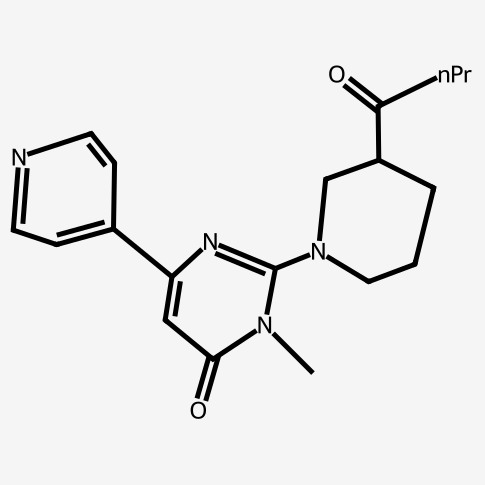 CCCC(=O)C1CCCN(c2nc(-c3ccncc3)cc(=O)n2C)C1